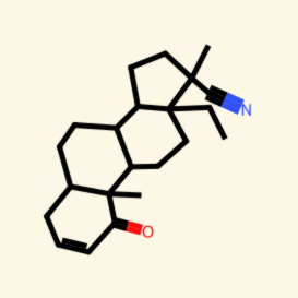 CCC12CCC3C(CCC4CC=CC(=O)C43C)C1CCC2(C)C#N